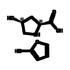 O=C(O)[C@@H]1C[C@@H](O)CN1.Oc1ccco1